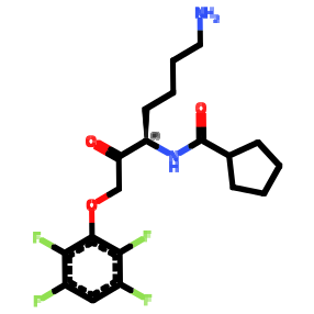 NCCCC[C@@H](NC(=O)C1CCCC1)C(=O)COc1c(F)c(F)cc(F)c1F